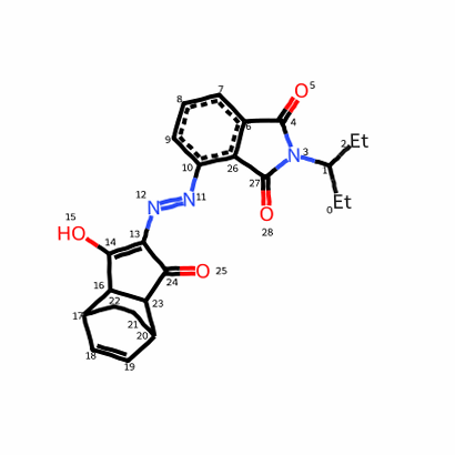 CCC(CC)N1C(=O)c2cccc(N=NC3=C(O)C4C5C=CC(CC5)C4C3=O)c2C1=O